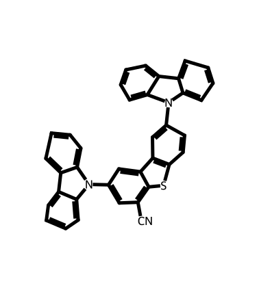 N#Cc1cc(-n2c3ccccc3c3ccccc32)cc2c1sc1ccc(-n3c4ccccc4c4ccccc43)cc12